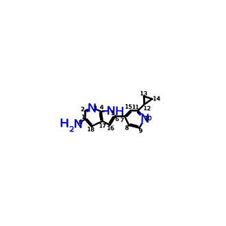 Nc1cnc2[nH]c(-c3ccnc(C4CC4)c3)cc2c1